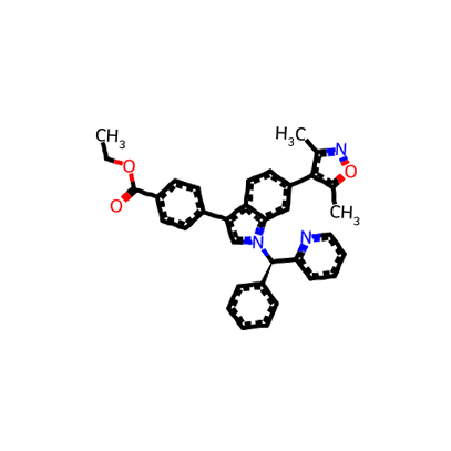 CCOC(=O)c1ccc(-c2cn([C@H](c3ccccc3)c3ccccn3)c3cc(-c4c(C)noc4C)ccc23)cc1